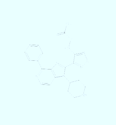 O=C(ONc1nonc1-c1nc2c(-c3ccccc3)nccc2n1C1CCNCC1)C(F)(F)F